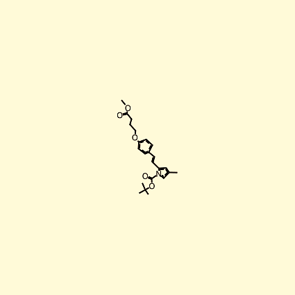 COC(=O)CCCOc1ccc(C=Cc2cc(C)cn2C(=O)OC(C)(C)C)cc1